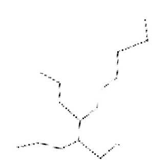 [CH2]CC(CCC)C(CCC)CCCCCC